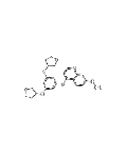 COc1ccc2c(Oc3cc(OC4CCOC4)cc(OC4CCOC4)c3)ccnc2c1